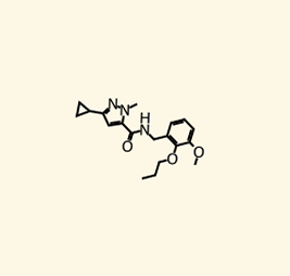 CCCOc1c(CNC(=O)c2cc(C3CC3)nn2C)cccc1OC